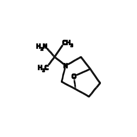 CC(C)(N)N1CC2CCC(C1)O2